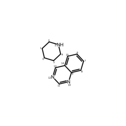 C1CCNCC1.c1ccc2ncncc2c1